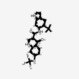 CC(C)(C)c1cc2cc[nH]c2cc1NC(=O)c1c[nH]c2cc(OC(F)(F)F)ccc2c1=O